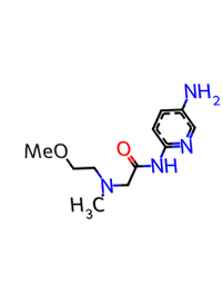 COCCN(C)CC(=O)Nc1ccc(N)cn1